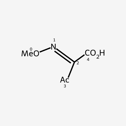 CO/N=C(\C(C)=O)C(=O)O